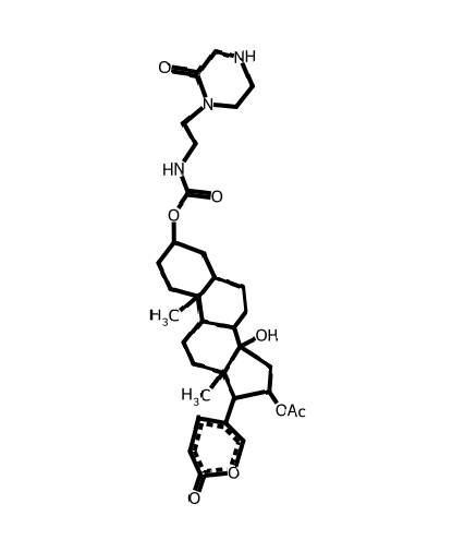 CC(=O)OC1CC2(O)C3CCC4CC(OC(=O)NCCN5CCNCC5=O)CCC4(C)C3CCC2(C)C1c1ccc(=O)oc1